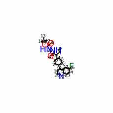 CCC(C(=O)NNC(=O)OC(C)(C)C)[C@H]1CC[C@@H](c2ccnc3ccc(F)cc32)CC1